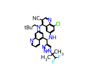 CC(C)(C)CNc1c(C#N)cnc2c(Cl)cc(N[C@H](c3cn(C(C)(C)C(F)F)nn3)c3cccc4ncccc34)cc12